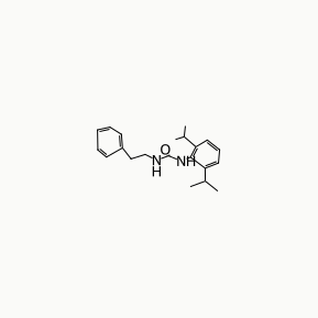 CC(C)c1cccc(C(C)C)c1NC(=O)NCCc1ccccc1